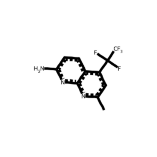 Cc1cc(C(F)(F)C(F)(F)F)c2ccc(N)nc2n1